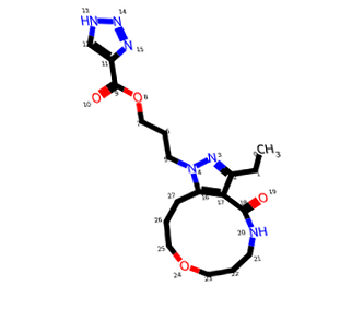 CCc1nn(CCCOC(=O)c2c[nH]nn2)c2c1C(=O)NCCCOCCC2